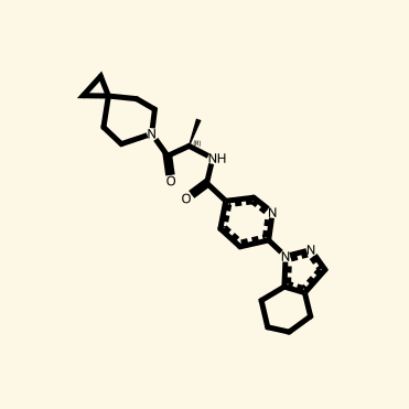 C[C@@H](NC(=O)c1ccc(-n2ncc3c2CCCC3)nc1)C(=O)N1CCC2(CC1)CC2